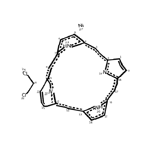 C1=Cc2cc3ccc(cc4nc(cc5ccc(cc1n2)[nH]5)C=C4)[nH]3.ClCCl.[Ni]